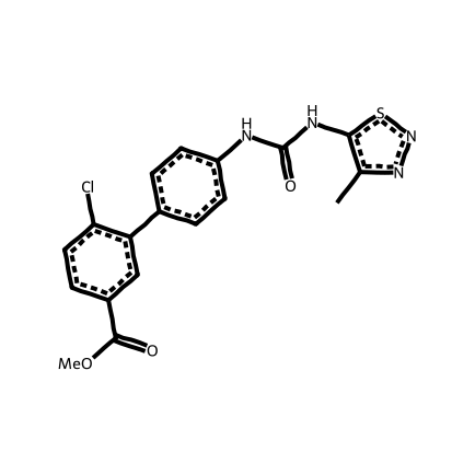 COC(=O)c1ccc(Cl)c(-c2ccc(NC(=O)Nc3snnc3C)cc2)c1